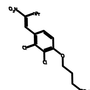 CCC/C(=C\c1ccc(OCCCC(=O)O)c(Cl)c1Cl)[N+](=O)[O-]